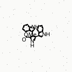 COC(=O)c1[nH]cc(-c2c[nH]c3ccccc23)c1-c1c[nH]c2ccccc12